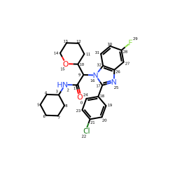 O=C(NC1CCCCC1)C(C1CCCCO1)n1c(-c2ccc(Cl)cc2)nc2cc(F)ccc21